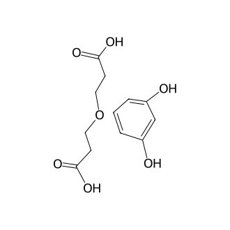 O=C(O)CCOCCC(=O)O.Oc1cccc(O)c1